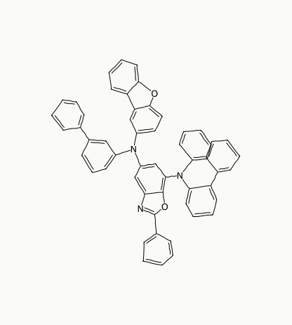 c1ccc(-c2cccc(N(c3cc(N(c4ccccc4)c4ccccc4-c4ccccc4)c4oc(-c5ccccc5)nc4c3)c3ccc4oc5ccccc5c4c3)c2)cc1